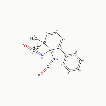 CC1(C)C=CC=C(c2ccccc2)C1(N=C=O)N=C=O